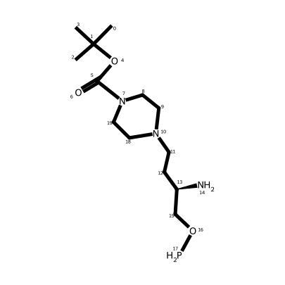 CC(C)(C)OC(=O)N1CCN(CC[C@@H](N)COP)CC1